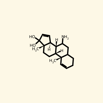 C[C@]12C=CCCC1CC(N)[C@@H]1[C@H]2CC[C@@]2(C)[C@H]1C=CC2(O)O